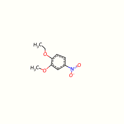 CCOc1ccc([N+](=O)[O-])cc1OC